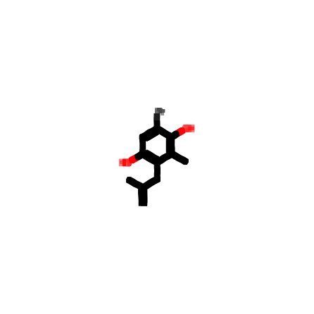 C=C(C)Cc1c(O)cc(C(C)C)c(O)c1C